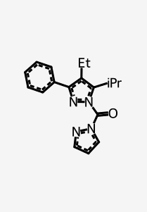 CCc1c(-c2ccccc2)nn(C(=O)n2cccn2)c1C(C)C